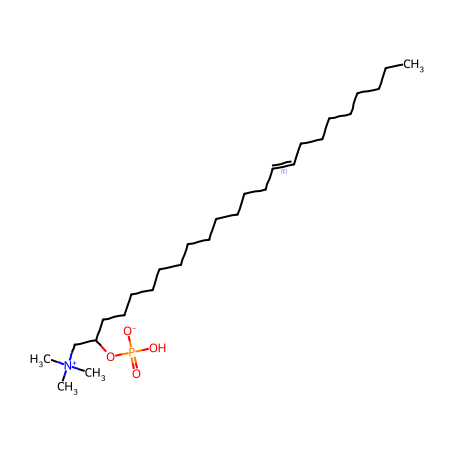 CCCCCCCC/C=C/CCCCCCCCCCCCC(C[N+](C)(C)C)OP(=O)([O-])O